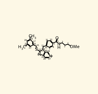 COCCCNC(=O)c1ccc(Cn2c(SCc3cc(C)cc(C)c3)nc3ccncc32)cc1